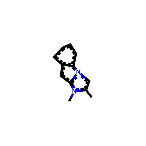 Cc1cn2c3ccccc3cc2n1C